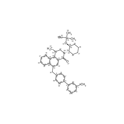 Cc1cncc(-c2ccc(Cc3cc4c(c5ncccc35)N(C)CN([C@H]3CCCC[C@@H]3O[Si](C)(C)C(C)(C)C)C4=O)cn2)c1